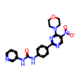 O=C(Nc1ccc(-c2ncc([N+](=O)[O-])c(N3CCOCC3)n2)cc1)Nc1cccnc1